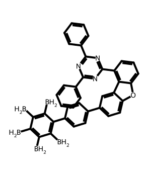 Bc1c(B)c(B)c(-c2ccc(-c3ccc4oc5cccc(-c6nc(-c7ccccc7)nc(-c7ccccc7)n6)c5c4c3)cc2)c(B)c1B